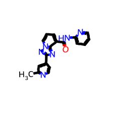 Cc1cc(-c2nc3c(C(=O)Nc4ccccn4)cccn3n2)ccn1